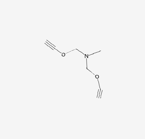 C#COCN(C)COC#C